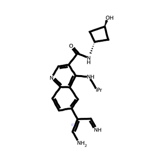 CC(C)Nc1c(C(=O)N[C@H]2C[C@H](O)C2)cnc2ccc(/C(C=N)=C/N)cc12